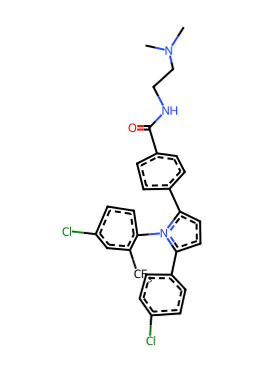 CN(C)CCNC(=O)c1ccc(-c2ccc(-c3ccc(Cl)cc3)n2-c2ccc(Cl)cc2C(F)(F)F)cc1